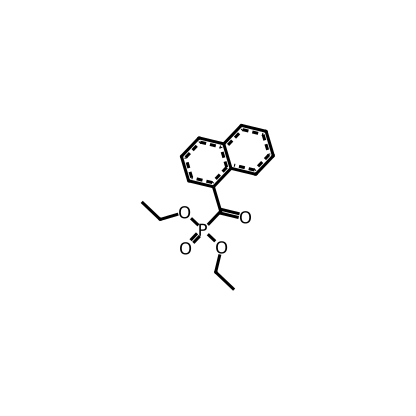 CCOP(=O)(OCC)C(=O)c1cccc2ccccc12